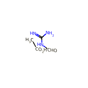 CC(=O)O.N=C(N)NC=O